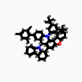 Cc1cc(C)c(-c2ccc3c(c2)B2c4c(cc5oc6ccccc6c5c4N3c3cc(C(C)(C)C)cc(C(C)(C)C)c3)-c3cccc4c5ccccc5n2c34)c(C)c1